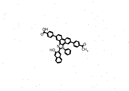 CC(=O)c1ccc(-c2ccc3c4ccc(-c5ccc(C(=O)O)cc5)cc4c4nc(-c5cc6ccccc6cc5O)n(-c5ccccc5)c4c3c2)cc1